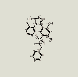 Cc1ccccc1-n1c(O)nnc1-c1cc(S(=O)(=O)N(C)Cc2ccncc2)c(O)cc1O